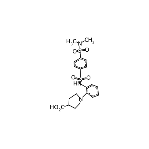 CN(C)S(=O)(=O)c1ccc(S(=O)(=O)Nc2ccccc2N2CCC(C(=O)O)CC2)cc1